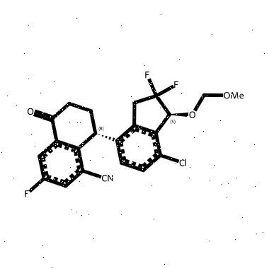 COCO[C@H]1c2c(Cl)ccc([C@H]3CCC(=O)c4cc(F)cc(C#N)c43)c2CC1(F)F